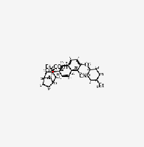 CCC1CCC(Oc2ccc3cc(C(CC)N4C5CCC4CC(C(=O)O)C5)ccc3c2C#N)CC1